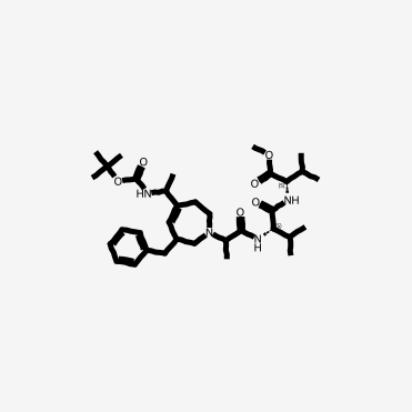 COC(=O)[C@@H](NC(=O)[C@@H](NC(=O)C(C)N1CCC(C(C)NC(=O)OC(C)(C)C)=CC(Cc2ccccc2)C1)C(C)C)C(C)C